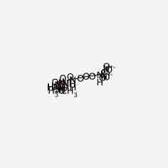 CC(C)(C)OC(=O)N[C@@H](CCC(=O)NCCCOCCOCCOCCCNc1ccc([N+](=O)[O-])cc1[N+](=O)[O-])C(=O)NCC(=O)ONS